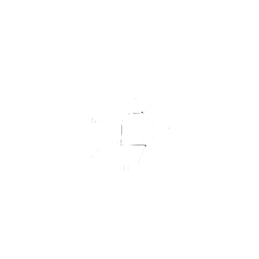 CC1(C)O[C@@H](C(=O)[O-])C(C)(C)O1.[Na+]